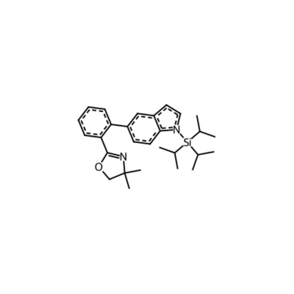 CC(C)[Si](C(C)C)(C(C)C)n1ccc2cc(-c3ccccc3C3=NC(C)(C)CO3)ccc21